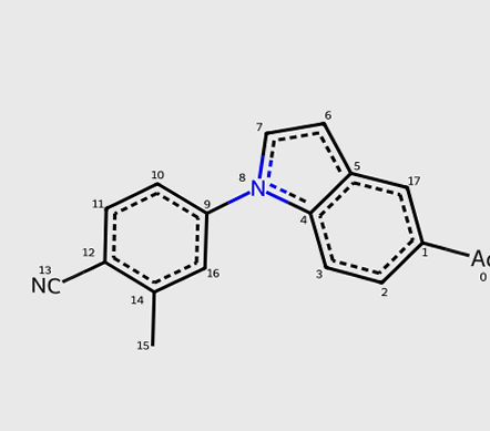 CC(=O)c1ccc2c(ccn2-c2ccc(C#N)c(C)c2)c1